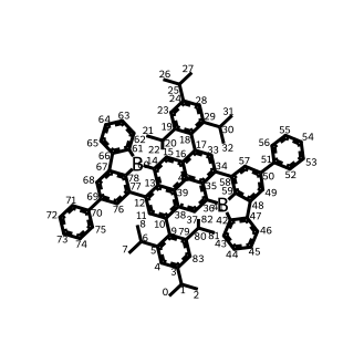 CC(C)c1cc(C(C)C)c(-c2cc3c4c(cc5c(-c6c(C(C)C)cc(C(C)C)cc6C(C)C)cc6c7c(cc2c4c57)B2c4ccccc4-c4cc(-c5ccccc5)cc-6c42)B2c4ccccc4-c4cc(-c5ccccc5)cc-3c42)c(C(C)C)c1